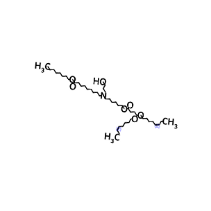 CC/C=C\CCCCOC(CCC(=O)OCCCCCCN(CCCO)CCCCCCCCC(=O)OCCCCCCCC)OCCCC/C=C\CC